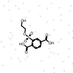 O=C(O)c1ccc(C(=O)O)c(S(=O)(=O)OCCO)c1